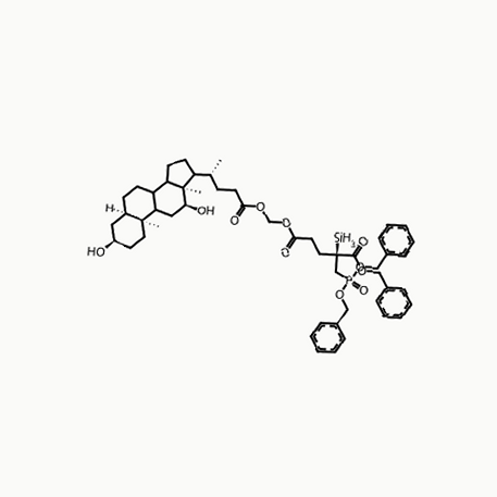 C[C@H](CCC(=O)OCOC(=O)CC[C@@]([SiH3])(CP(=O)(OCc1ccccc1)OCc1ccccc1)C(=O)OCc1ccccc1)C1CCC2C3CC[C@@H]4C[C@H](O)CC[C@]4(C)C3C[C@H](O)[C@@]21C